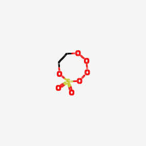 O=S1(=O)OCCOOOO1